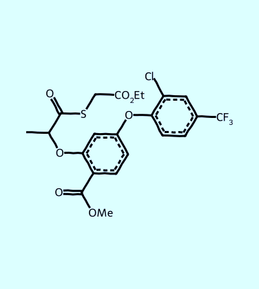 CCOC(=O)CSC(=O)C(C)Oc1cc(Oc2ccc(C(F)(F)F)cc2Cl)ccc1C(=O)OC